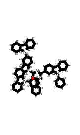 c1ccc(-c2nc(-c3ccc4c5ccccc5n(-c5ccccc5)c4c3)nc(-n3c4ccc(-n5c6ccccc6c6ccccc65)cc4c4ccc5c6ccccc6n(-c6ccccc6)c5c43)n2)cc1